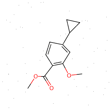 COC(=O)c1ccc(C2CC2)cc1OC